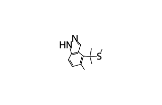 CSC(C)(C)c1c(C)ccc2[nH]ncc12